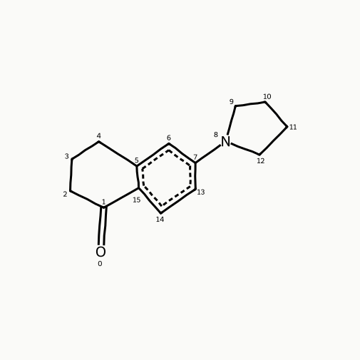 O=C1CCCc2cc(N3CCCC3)ccc21